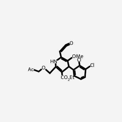 CCOC(=O)C1=C(COCC(C)=O)NC(C=C=O)=C(OC)C1c1cccc(Cl)c1Cl